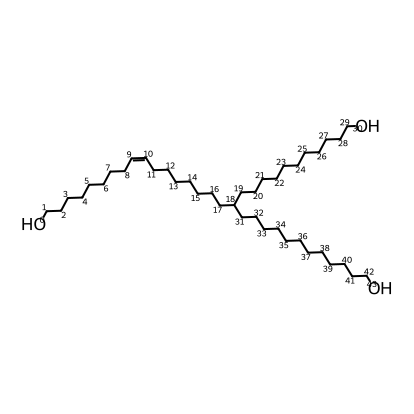 OCCCCCCCC/C=C\CCCCCCCC(CCCCCCCCCCCO)CCCCCCCCCCCCO